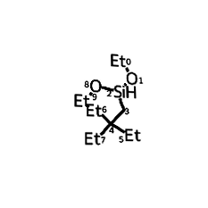 CCO[SiH](CC(CC)(CC)CC)OCC